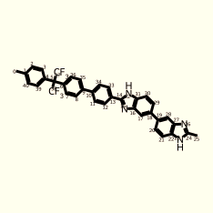 Cc1ccc(C(c2ccc(-c3ccc(-c4nc5cc(-c6ccc7[nH]c(C)nc7c6)ccc5[nH]4)cc3)cc2)(C(F)(F)F)C(F)(F)F)cc1